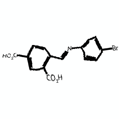 O=C(O)c1ccc(/C=N/c2ccc(Br)cc2)c(C(=O)O)c1